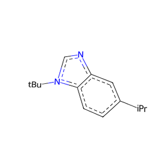 CC(C)c1ccc2c(c1)ncn2C(C)(C)C